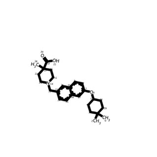 CC1(C)CCC(Oc2ccc3cc(CN4CCC(C)(C(=O)O)CC4)ccc3c2)CC1